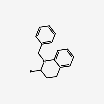 FC1CCc2ccccc2N1Cc1ccccc1